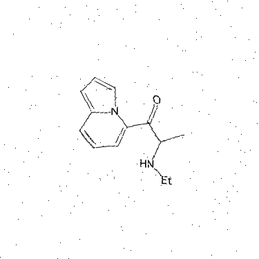 CCNC(C)C(=O)c1cccc2cccn12